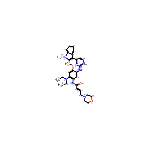 CCN(CC)c1cc(OC)c(Nc2nccc(-c3cn(C)c4ccccc34)n2)cc1NC(=O)/C=C/CN1CCOCC1